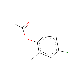 CCC(=O)Oc1ccc(F)cc1C